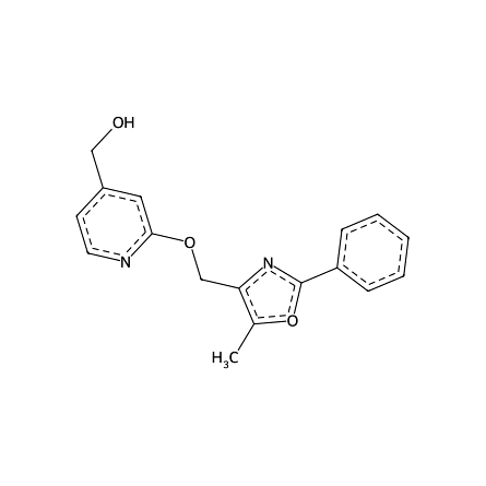 Cc1oc(-c2ccccc2)nc1COc1cc(CO)ccn1